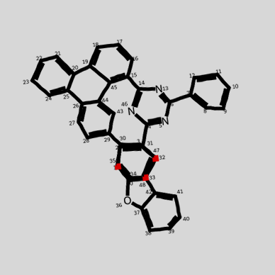 c1ccc(-c2nc(-c3ccccc3)nc(-c3cccc4c5ccccc5c5ccc(-c6ccc7c(c6)oc6ccccc67)cc5c34)n2)cc1